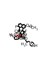 COCOc1cc(-c2ncc3c(N4CC5CCC(C4)N5C(=O)O)nc(OC[C@H](C)CN4CCNCC4)nc3c2F)c2c(C#C[Si](C(C)C)(C(C)C)C(C)C)c(F)ccc2c1